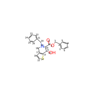 O=C(OCc1ccccc1)C1C(O)c2sccc2CN1Cc1ccccc1